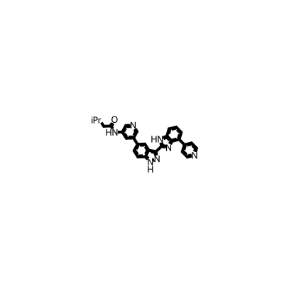 CC(C)CC(=O)Nc1cncc(-c2ccc3[nH]nc(-c4nc5c(-c6ccncc6)cccc5[nH]4)c3c2)c1